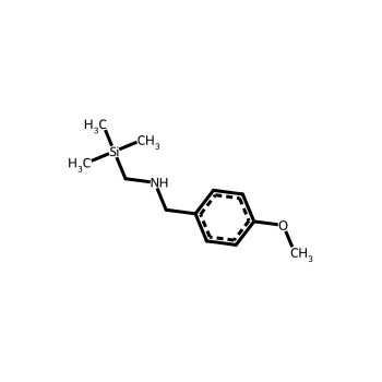 COc1ccc(CNC[Si](C)(C)C)cc1